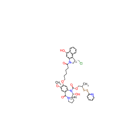 COc1cc2c(cc1OCCCCCC(=O)N1C[C@@H](CCl)c3c1cc(O)c1ccccc31)N(C(=O)OCC(C)SSc1ccccn1)C(O)[C@@H]1CCCN1C2=O